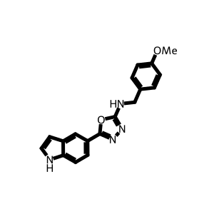 COc1ccc(CNc2nnc(-c3ccc4[nH]ccc4c3)o2)cc1